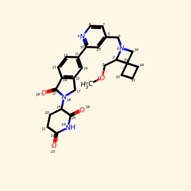 COCC1N(Cc2ccnc(-c3ccc4c(c3)CN(C3CCC(=O)NC3=O)C4=O)c2)CC12CCC2